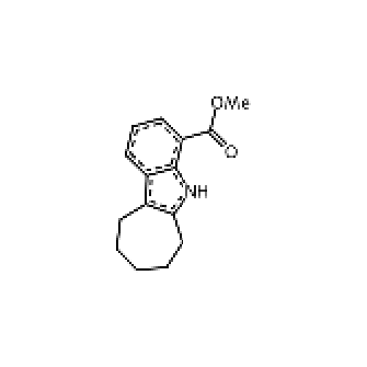 COC(=O)c1cccc2c3c([nH]c12)CCCCC3